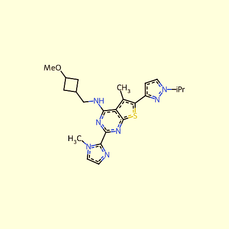 COC1CC(CNc2nc(-c3nccn3C)nc3sc(-c4ccn(C(C)C)n4)c(C)c23)C1